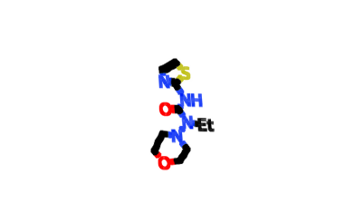 CCN(C(=O)Nc1nccs1)N1CCOCC1